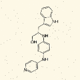 OCC(Cc1c[nH]c2ccccc12)Nc1ccc(Nc2ccncc2)cc1